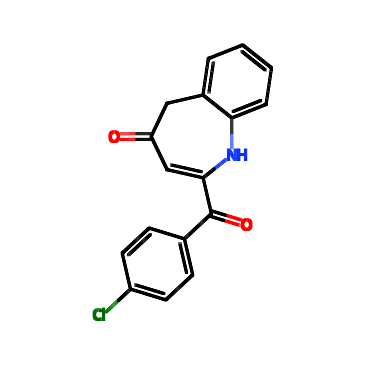 O=C1C=C(C(=O)c2ccc(Cl)cc2)Nc2ccccc2C1